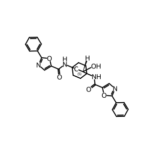 O=C(NC12CCC(NC(=O)c3cnc(-c4ccccc4)o3)(CC1)[C@@H](O)C2)c1cnc(-c2ccccc2)o1